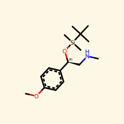 CNC[C@H](O[Si](C)(C)C(C)(C)C)c1ccc(OC)cc1